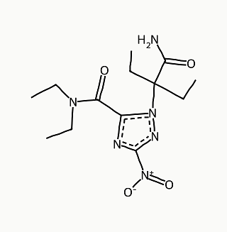 CCN(CC)C(=O)c1nc([N+](=O)[O-])nn1C(CC)(CC)C(N)=O